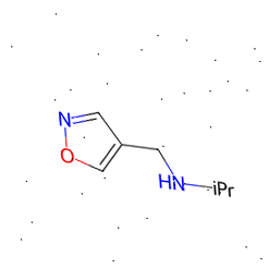 CC(C)NCc1cnoc1